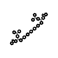 CC1(C)c2ccccc2-c2ccc(N(C3=CCC(N(C4=CC=CCC4)c4ccccc4)C=C3)c3cccc(C4=CC=C(c5ccc(C6=CC=C(C7=CC=C(c8ccc(-c9cccc(N(C%10=CC=C%11c%12ccccc%12C(C)(C)C%11C%10)c%10ccc(N(c%11ccccc%11)c%11ccccc%11)cc%10)c9)cc8)CC7)CC6)cc5)CC4)c3)cc21